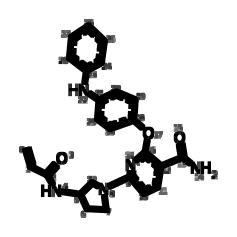 C=CC(=O)NC1CCN(c2ccc(C(N)=O)c(Oc3ccc(Nc4ccccc4)cc3)n2)C1